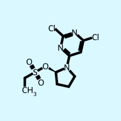 CCS(=O)(=O)O[C@@H]1CCCN1c1cc(Cl)nc(Cl)n1